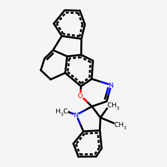 CN1c2ccccc2C(C)(C)C12C=Nc1cc3c4c(c1O2)CCC=C4c1ccccc1-3